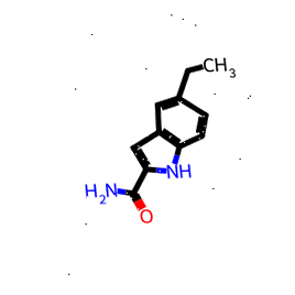 CCc1ccc2[nH]c(C(N)=O)cc2c1